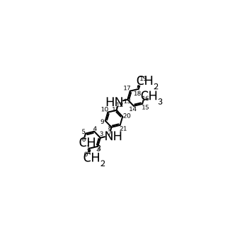 C=C/C=C(\C=C/C)Nc1ccc(NC(/C=C\C)=C/C=C)cc1